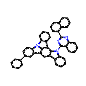 c1ccc(-c2ccc3c(c2)c2cc4c5ccccc5n(-c5nc(-c6cccc7ccccc67)nc6ccccc56)c4c4c5ccccc5n3c24)cc1